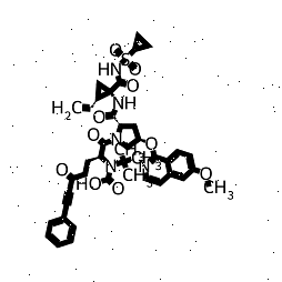 C=C[C@@H]1C[C@]1(NC(=O)[C@@H]1C[C@@H](Oc2nccc3cc(OC)ccc23)CN1C(=O)[C@H](CCC(=O)C#Cc1ccccc1)N(C(=O)O)C(C)(C)C)C(=O)NS(=O)(=O)C1CC1